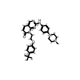 CN1CCN(c2ccc(Nc3ncc4ccc(=O)n(CCOc5ccc(C(C)(C)C)cc5)c4n3)cc2)CC1